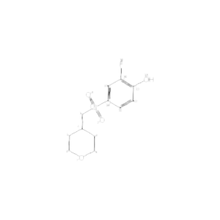 O=S(=O)(CC1CCOCC1)c1ccc(O)c(F)c1